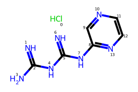 Cl.N=C(N)NC(=N)Nc1cnccn1